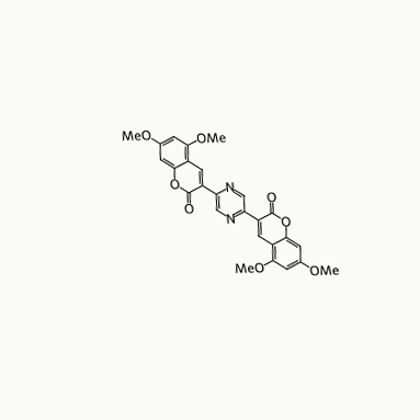 COc1cc(OC)c2cc(-c3cnc(-c4cc5c(OC)cc(OC)cc5oc4=O)cn3)c(=O)oc2c1